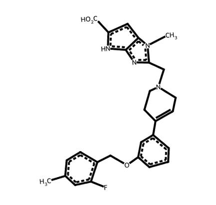 Cc1ccc(COc2cccc(C3=CCN(Cc4nc5[nH]c(C(=O)O)cc5n4C)CC3)c2)c(F)c1